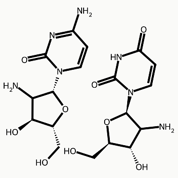 NC1[C@H](n2ccc(=O)[nH]c2=O)O[C@H](CO)[C@H]1O.Nc1ccn([C@@H]2O[C@H](CO)[C@@H](O)C2N)c(=O)n1